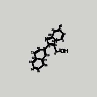 Cc1ccn2c(CO)c(-c3ccc4ccccc4c3)nc2c1